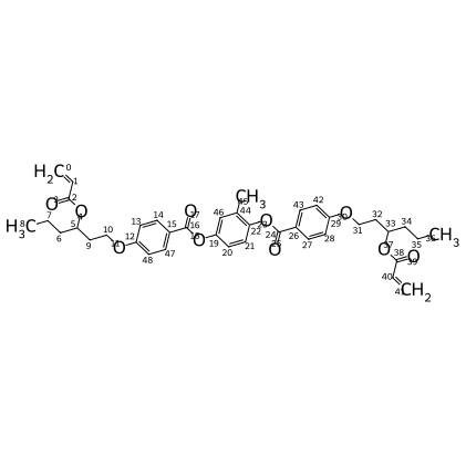 C=CC(=O)OC(CCC)CCOc1ccc(C(=O)Oc2ccc(OC(=O)c3ccc(OCCC(CCC)OC(=O)C=C)cc3)c(C)c2)cc1